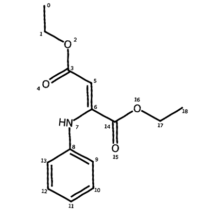 CCOC(=O)/C=C(\Nc1ccccc1)C(=O)OCC